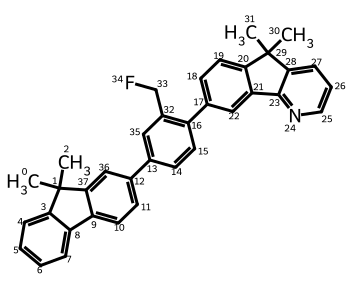 CC1(C)c2ccccc2-c2ccc(-c3ccc(-c4ccc5c(c4)-c4ncccc4C5(C)C)c(CF)c3)cc21